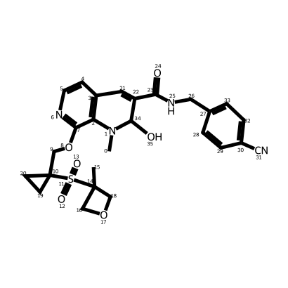 CN1c2c(ccnc2OCC2(S(=O)(=O)C3(C)COC3)CC2)C=C(C(=O)NCc2ccc(C#N)cc2)C1O